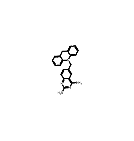 Nc1nc(N)c2cc(CN3c4ccccc4Cc4ccccc43)ccc2n1